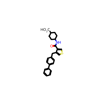 O=C(NC1CCC(C(=O)O)CC1)c1cscc1Cc1ccc(-c2ccccc2)cc1